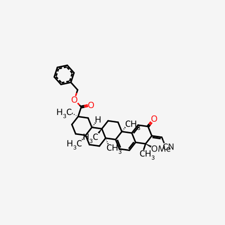 CO[C@@]1(C)C2=CC=C3[C@@](C)(CC[C@@]4(C)[C@@H]5C[C@](C)(C(=O)OCc6ccccc6)CC[C@]5(C)CC[C@]34C)C2=CC(=O)/C1=C/C#N